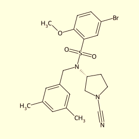 COc1ccc(Br)cc1S(=O)(=O)N(Cc1cc(C)cc(C)c1)[C@@H]1CCN(C#N)C1